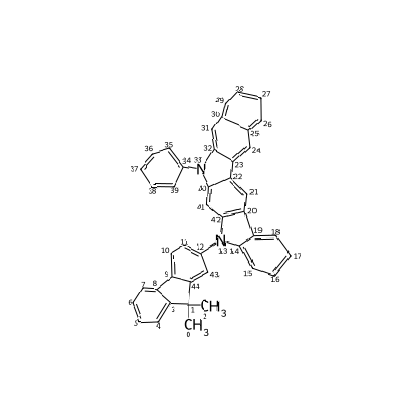 CC1(C)c2ccccc2-c2ccc(-n3c4ccccc4c4cc5c6cc7ccccc7cc6n(-c6ccccc6)c5cc43)cc21